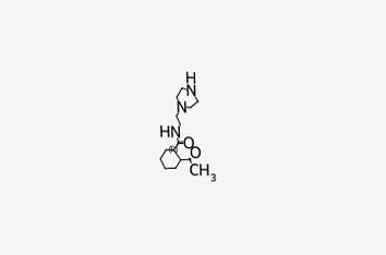 CC(=O)C1CCCC[C@H]1C(=O)NCCN1CCNCC1